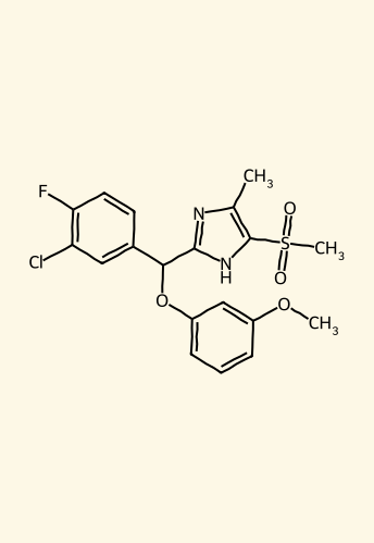 COc1cccc(OC(c2ccc(F)c(Cl)c2)c2nc(C)c(S(C)(=O)=O)[nH]2)c1